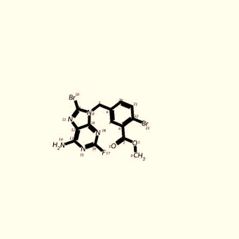 COC(=O)c1cc(Cn2c(Br)nc3c(N)nc(F)nc32)ccc1Br